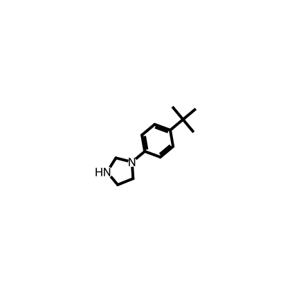 CC(C)(C)c1ccc(N2CCNC2)cc1